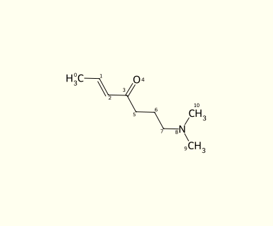 CC=CC(=O)CCCN(C)C